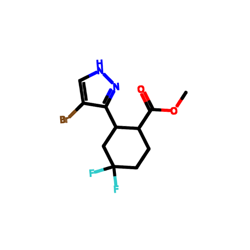 COC(=O)C1CCC(F)(F)CC1c1n[nH]cc1Br